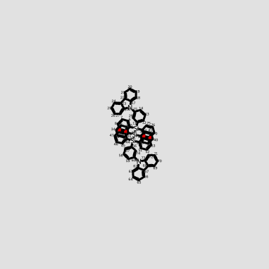 c1ccc([Si](c2ccccc2)(c2cccc(-n3c4ccccc4c4ccccc43)c2)[Si](c2ccccc2)(c2ccccc2)[Si](c2ccccc2)(c2ccccc2)c2cccc(-n3c4ccccc4c4ccccc43)c2)cc1